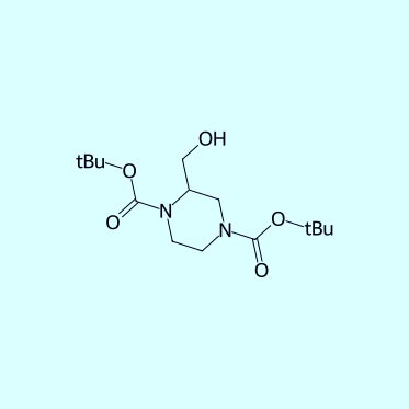 CC(C)(C)OC(=O)N1CCN(C(=O)OC(C)(C)C)C(CO)C1